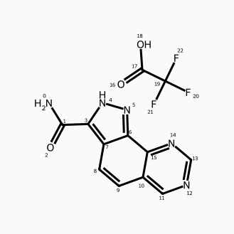 NC(=O)c1[nH]nc2c1ccc1cncnc12.O=C(O)C(F)(F)F